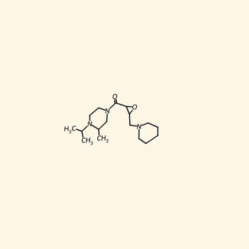 CC(C)N1CCN(C(=O)C2OC2CN2CCCCC2)CC1C